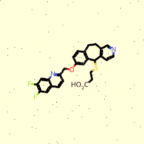 O=C(O)CCSC1c2ccncc2CCc2ccc(OCc3ccc4cc(F)c(F)cc4n3)cc21